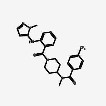 CN(C(=O)c1ccc(C(F)(F)F)cc1)C1CCN(C(=O)c2ccccc2Nc2ccnn2C)CC1